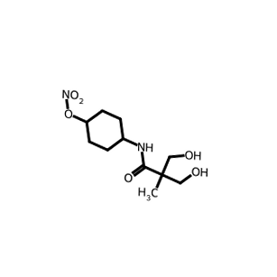 CC(CO)(CO)C(=O)NC1CCC(O[N+](=O)[O-])CC1